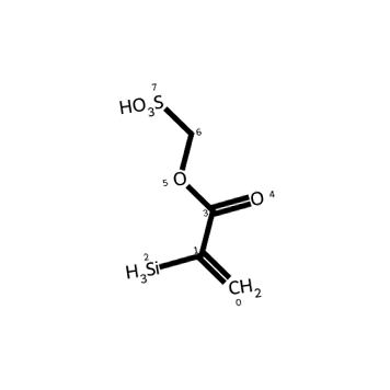 C=C([SiH3])C(=O)OCS(=O)(=O)O